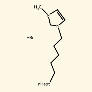 Br.CCCCCCCCCCCCN1C=CN(C)C1